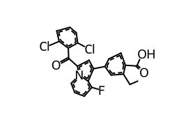 CCc1cc(-c2cc(C(=O)c3c(Cl)cccc3Cl)n3cccc(F)c23)ccc1C(=O)O